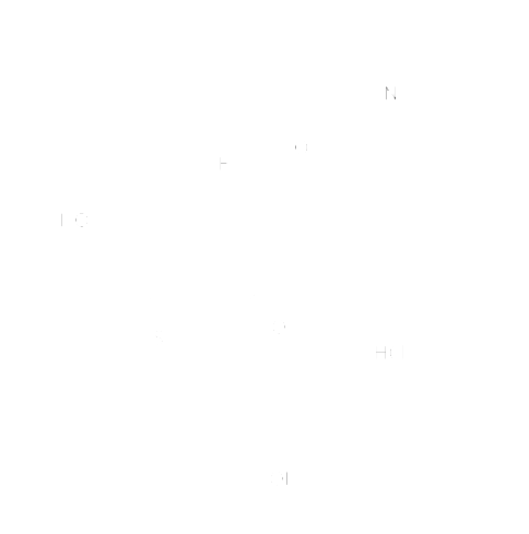 Cl.O=C(c1ccc(OCCN2CCCCC2)c(F)c1)c1c(-c2ccc(O)cc2)sc2cc(O)ccc12